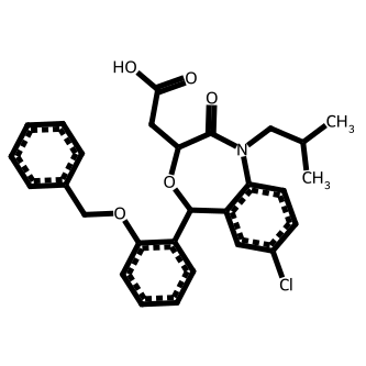 CC(C)CN1C(=O)C(CC(=O)O)OC(c2ccccc2OCc2ccccc2)c2cc(Cl)ccc21